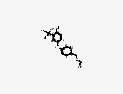 O=COCc1ccc(Oc2ccc(Cl)c(C(F)(F)F)c2)cn1